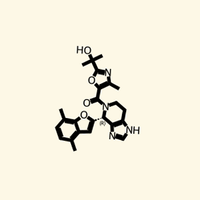 Cc1nc(C(C)(C)O)oc1C(=O)N1CCc2[nH]cnc2[C@@H]1c1cc2c(C)ccc(C)c2o1